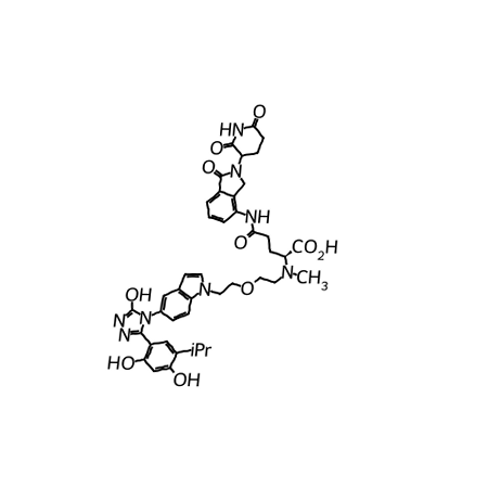 CC(C)c1cc(-c2nnc(O)n2-c2ccc3c(ccn3CCOCCN(C)[C@@H](CCC(=O)Nc3cccc4c3CN(C3CCC(=O)NC3=O)C4=O)C(=O)O)c2)c(O)cc1O